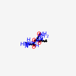 C/N=C(/NC)NCCC[C@H](NCC(=O)[C@H](CCCNC(N)=O)NCC(=O)[C@H](CCCC(C)C)NC)C(C)=O